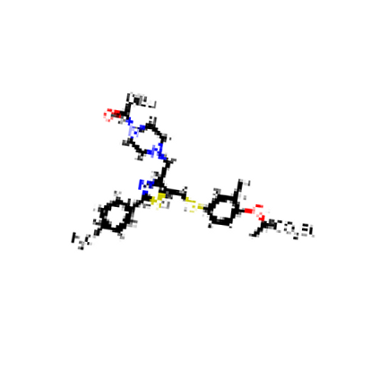 CCOC(=O)C(C)Oc1ccc(SCc2sc(-c3ccc(C(F)(F)F)cc3)nc2CN2CCN(C(=O)OCC(C)C)CC2)cc1C